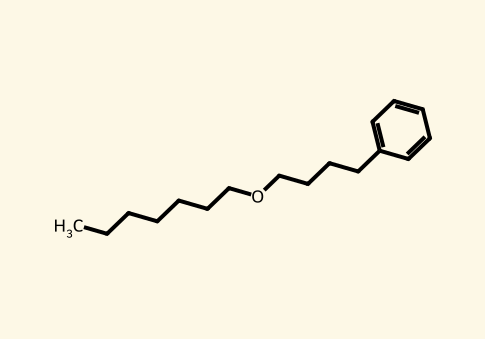 CCCCCCCOCCCCc1ccccc1